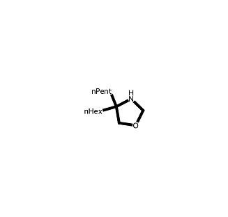 CCCCCCC1(CCCCC)COCN1